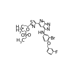 CCC(OC(C)S(=O)(=O)CC)c1nc(-c2cc3c(Nc4ccc(OCc5cccc(F)c5)c(Br)c4)ncnc3cn2)cs1